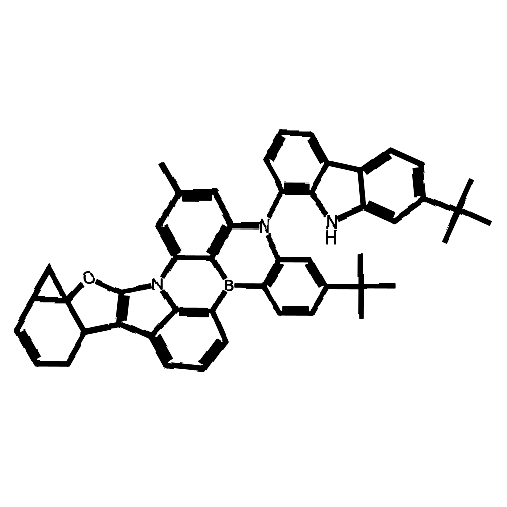 Cc1cc2c3c(c1)-n1c4c(c5cccc(c51)B3c1ccc(C(C)(C)C)cc1N2c1cccc2c1[nH]c1cc(C(C)(C)C)ccc12)C1CC=CC2CC21O4